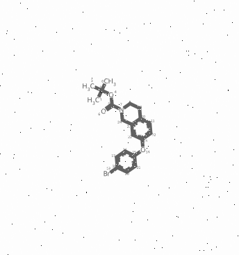 CC(C)(C)OC(=O)N1CCc2ccc(Oc3ccc(Br)cc3)cc2C1